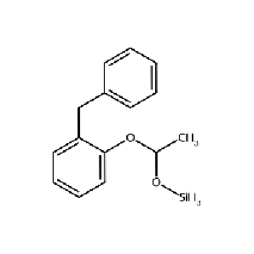 CC(O[SiH3])Oc1ccccc1Cc1ccccc1